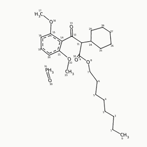 CCCCCCCCOC(=O)C(C(=O)c1c(OC)cccc1OC)C1CCCCC1.O=[PH3]